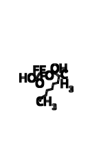 CCCCCCCC(C)C(=O)O.O=C(O)C(F)(F)F